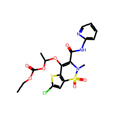 CCOC(=O)OC(C)OC1=C(C(=O)Nc2ccccn2)N(C)S(=O)(=O)c2cc(Cl)sc21